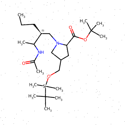 CCC[C@@H](CN1CC(CO[Si](C)(C)C(C)(C)C)CC1C(=O)OC(C)(C)C)C(C)NC(C)=O